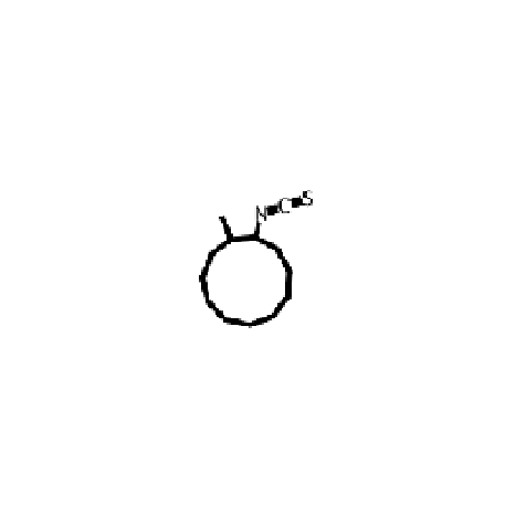 CC1CCCCCCCCCC1N=C=S